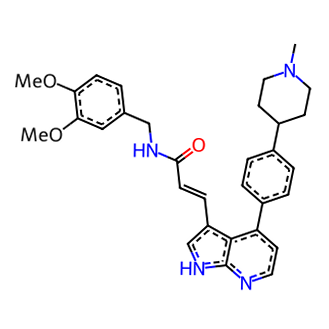 COc1ccc(CNC(=O)/C=C/c2c[nH]c3nccc(-c4ccc(C5CCN(C)CC5)cc4)c23)cc1OC